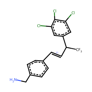 NCc1ccc(/C=C/C(c2cc(Cl)c(Cl)c(Cl)c2)C(F)(F)F)cc1